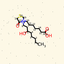 CCCCCC(O)CC[N+]1(CCCCCCC(=O)O)CSCC1=O